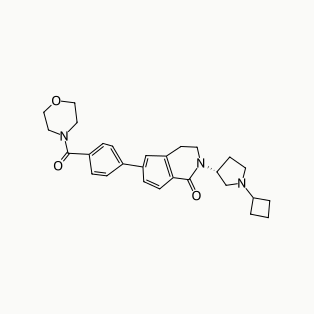 O=C(c1ccc(-c2ccc3c(c2)CCN([C@@H]2CCN(C4CCC4)C2)C3=O)cc1)N1CCOCC1